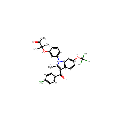 CC(=O)C(C)(C)Oc1cccc(-n2c(C)c(C(=O)c3ccc(Cl)cc3)c3ccc(OC(F)(F)F)cc32)c1